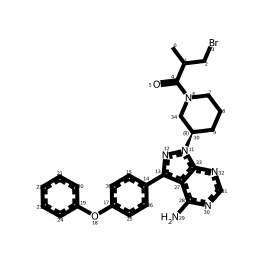 CC(CBr)C(=O)N1CCC[C@@H](n2nc(-c3ccc(Oc4ccccc4)cc3)c3c(N)ncnc32)C1